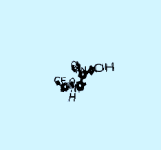 Cc1ccc(NC(=O)N2CC[C@@H](CC(F)(F)F)C2)cc1-c1cc(C2CC(O)C2)nc(N2CCOCC2)c1